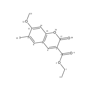 CCOC(=O)c1cc2cc(I)c(OC)cc2oc1=O